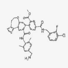 COC(=O)c1nc(C(=O)NCc2cccc(Cl)c2F)ccc1-c1cc2c(cc1C(=O)Nc1c(C)cc(CN)cc1C)-c1sccc1CCO2